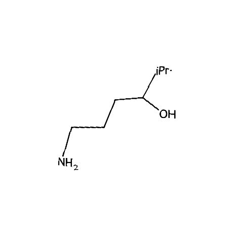 C[C](C)C(O)CCCN